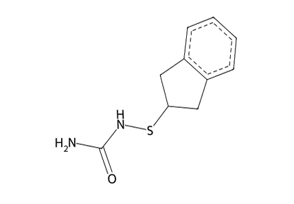 NC(=O)NSC1Cc2ccccc2C1